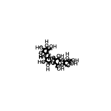 CC1OC(OC2C(CO)OC(OC3C(O)COC(O)(CO)C3O)C(O)C2O)C(O)C(O)C1NC1C=C(CO)C(O)C(O)C1O